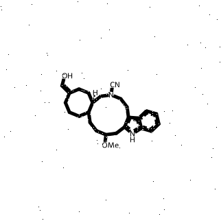 COC1CCC2CCC/C(=C/O)CC[C@H]2CN(C#N)CCc2c([nH]c3ccccc23)C1